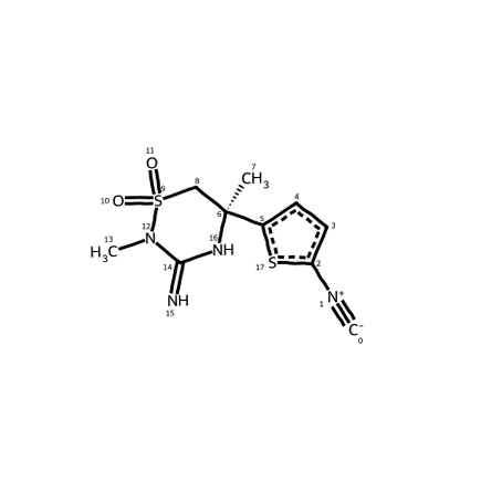 [C-]#[N+]c1ccc([C@]2(C)CS(=O)(=O)N(C)C(=N)N2)s1